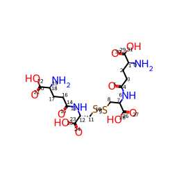 N[C@@H](CCC(=O)NC(CSSC[C@@H](NC(=O)CC[C@H](N)C(=O)O)C(=O)O)C(=O)O)C(=O)O